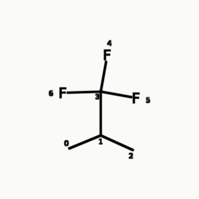 CC(C)C(F)(F)F